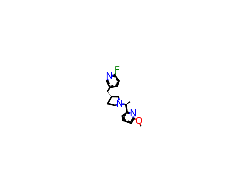 COc1cccc([C@H](C)N2CC[C@H](Cc3ccc(F)nc3)C2)n1